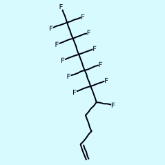 C=CCCC(F)C(F)(F)C(F)(F)C(F)(F)C(F)(F)C(F)(F)F